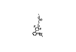 CCCNc1ccccc1-c1cc(F)c(OCCCC(=O)OCC)c(F)c1